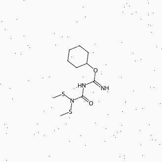 CSN(SC)C(=O)NC(=N)OC1CCCCC1